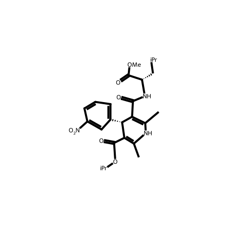 COC(=O)[C@H](CC(C)C)NC(=O)C1=C(C)NC(C)=C(C(=O)OC(C)C)[C@@H]1c1cccc([N+](=O)[O-])c1